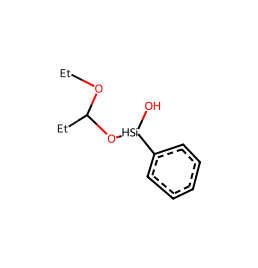 CCOC(CC)O[SiH](O)c1ccccc1